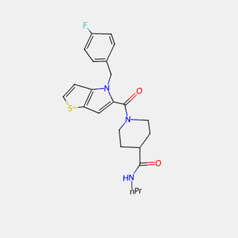 CCCNC(=O)C1CCN(C(=O)c2cc3sccc3n2Cc2ccc(F)cc2)CC1